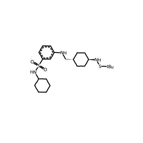 CC(C)(C)SN[C@H]1CC[C@H](CNc2cccc(S(=O)(=O)NC3CCCCC3)c2)CC1